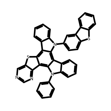 c1ccc(-n2c3ccccc3c3c4c(c5ccccc5n4-c4ccc5sc6ccccc6c5c4)c4sc5cncnc5c4c32)cc1